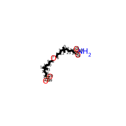 CC(C)(CCCCOCCCCC(C)(C)CCCS(C)(=O)=O)CCCCS(N)(=O)=O